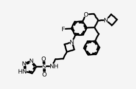 O=S(=O)(NCCC1CN(c2cc3c(cc2F)OCC(N2CCC2)C3Cc2ccccc2)C1)c1c[nH]nn1